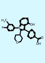 Cc1cc(-n2c(C3CCOCC3)c(-c3ccc(C(=O)O)cc3)c3c(O)cccc32)ccc1F